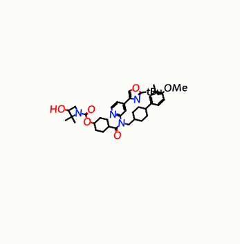 COc1ccc(C2CCC(CN(C(=O)C3CCC(OC(=O)N4CC(O)C4(C)C)CC3)c3cc(-c4coc(C(C)(C)C)n4)ccn3)CC2)cc1C